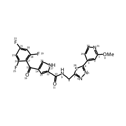 COc1cc(-c2nnc(CNC(=O)c3cc(C(=O)c4c(F)cc(F)cc4F)c[nH]3)s2)ccn1